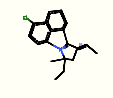 C/C=C1\CC(C)(CC)[N+]2=C1c1cccc3c(Cl)ccc2c13